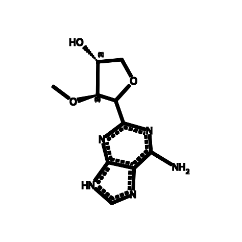 CO[C@@H]1C(c2nc(N)c3nc[nH]c3n2)OC[C@H]1O